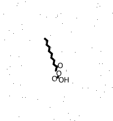 CCCCCCCCCC(=O)COC(=O)O